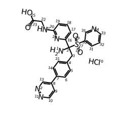 Cl.NC(Cc1ccc(-c2ccnnc2)cc1)(c1cccc(NCC(=O)O)n1)S(=O)(=O)c1cccnc1